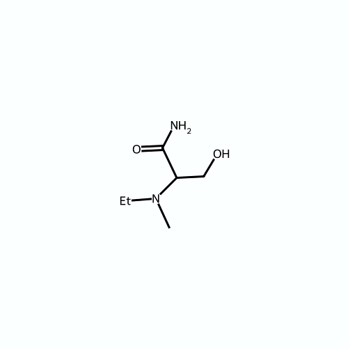 CCN(C)C(CO)C(N)=O